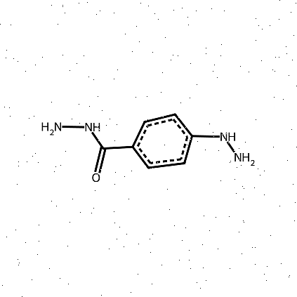 NNC(=O)c1ccc(NN)cc1